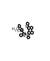 CC1(C)c2ccccc2-c2ccc(-c3nc(-n4c5ccccc5c5c6cccc7c8cccc9c%10c(cc(c(cc54)c76)c89)sc4ccccc4%10)nc4ccccc34)cc21